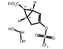 CCOC(=O)[C@H]1[C@@H]2C=C(OS(=O)(=O)C(F)(F)F)C[C@@H]21.OBO